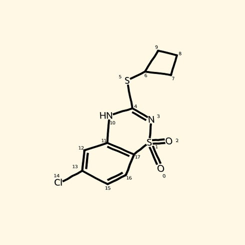 O=S1(=O)N=C(SC2CCC2)Nc2cc(Cl)ccc21